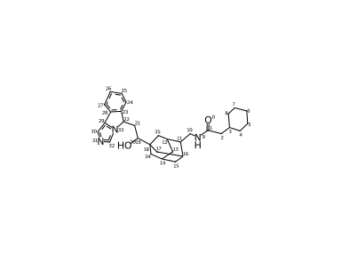 O=C(CC1CCCCC1)NCC1C2CC3CC1CC(C(O)CC1c4ccccc4-c4cncn41)(C3)C2